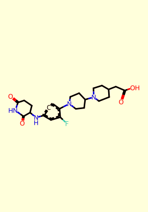 O=C(O)CC1CCN(C2CCN(c3ccc(NC4CCC(=O)NC4=O)cc3F)CC2)CC1